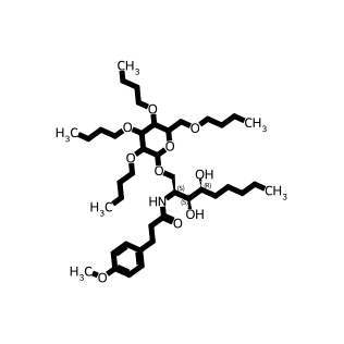 CCCCC[C@@H](O)[C@@H](O)[C@H](COC1OC(COCCCC)C(OCCCC)C(OCCCC)C1OCCCC)NC(=O)CCc1ccc(OC)cc1